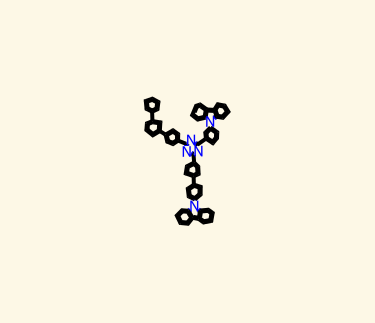 c1ccc(-c2cccc(-c3ccc(-c4nc(-c5ccc(-c6ccc(-n7c8ccccc8c8ccccc87)cc6)cc5)nc(-c5cccc(-n6c7ccccc7c7ccccc76)c5)n4)cc3)c2)cc1